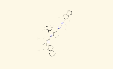 CCN(/C(C)=C/C=C1\CCCC(/C=C/C(C)=[N+](\CC)c2ccc3ccccc3c2C)=C1c1c(O)n(CC)c(=O)n(CC)c1=O)c1ccc2ccccc2c1C